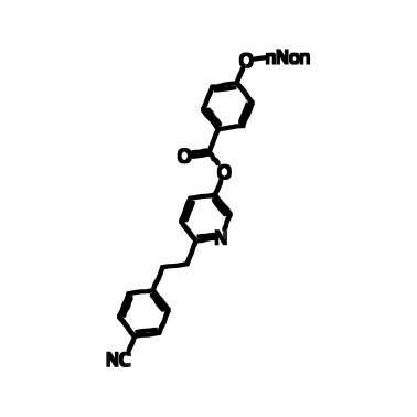 CCCCCCCCCOc1ccc(C(=O)Oc2ccc(CCc3ccc(C#N)cc3)nc2)cc1